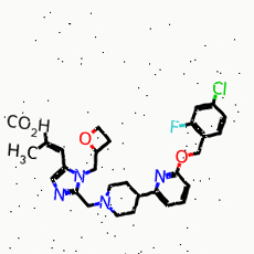 C/C(=C\c1cnc(CN2CCC(c3cccc(OCc4ccc(Cl)cc4F)n3)CC2)n1CC1CCO1)C(=O)O